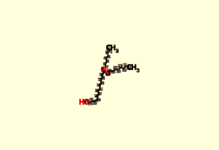 CCCCCCCCOC(CCCCCCCCC/C=C\CCO)OCCCCCCCC